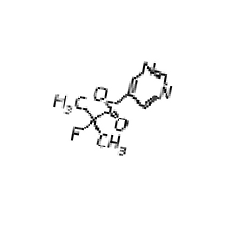 CC(C)(F)S(=O)(=O)c1cncnc1